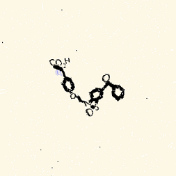 O=C(O)/C=C/c1ccc(OCCn2c(=O)sc3cc(C(=O)c4ccccc4)ccc32)cc1